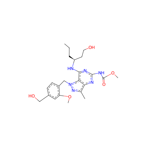 CCC[C@@H](CCO)Nc1nc(NC(=O)OC)nc2c(C)nn(Cc3ccc(CO)cc3OC)c12